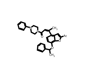 CC(=O)c1cc2c(/C(C)=C\C(=O)N3CCN(c4ccccc4)CC3)ccc(OC(C)c3ccccc3)c2o1